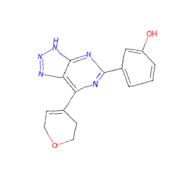 Oc1cccc(-c2nc(C3=CCOCC3)c3nn[nH]c3n2)c1